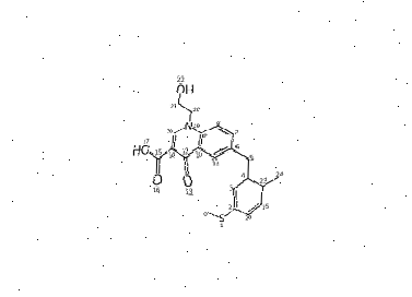 CSC1=CC(Cc2ccc3c(c2)c(=O)c(C(=O)O)cn3CCO)C(C)C=C1